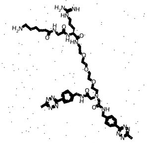 Cc1nnc(-c2ccc(CNC(=O)CN(CCOCCOCCOCCNC(=O)[C@H](CCCNC(=N)N)NC(=O)CNC(=O)CCCCCN)CC(=O)NCc3ccc(-c4nnc(C)nn4)cc3)cc2)nn1